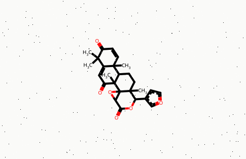 CC1(C)C(=O)C=CC2(C)C1=CC(=O)C1(C)C2CCC2(C)C(c3ccoc3)OC(=O)C3OC321